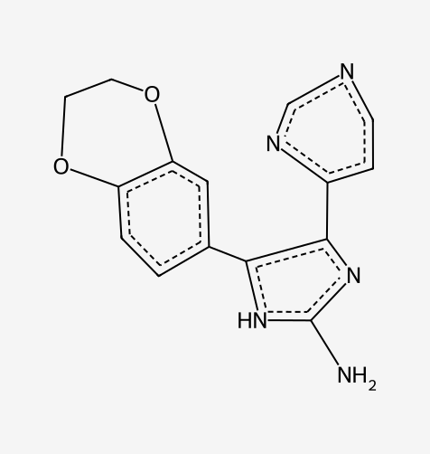 Nc1nc(-c2ccncn2)c(-c2ccc3c(c2)OCCO3)[nH]1